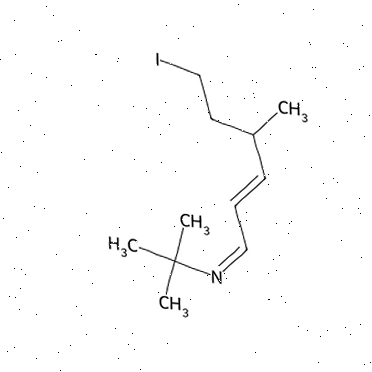 CC(/C=C/C=N\C(C)(C)C)CCI